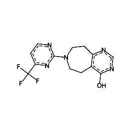 Oc1ncnc2c1CCN(c1nccc(C(F)(F)F)n1)CC2